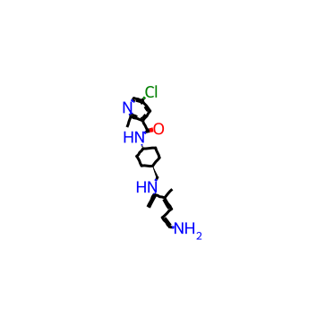 C=C(NC[C@H]1CC[C@H](NC(=O)c2cc(Cl)cnc2C)CC1)/C(C)=C\C=C/N